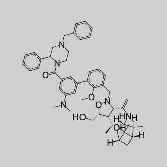 C=C(N[C@H]1C[C@H]2C[C@@H]([C@@H]1C)C2(C)C)[C@@H]1[C@H]([C@H](C)O)[C@H](CO)ON1Cc1cccc(-c2cc(C(=O)N3CCN(Cc4ccccc4)CC3c3ccccc3)cc(N(C)C)c2)c1OC